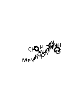 CNCCNCOC(NC(=O)c1cn(-c2nc(NC3CCOCC3)ncc2C)cn1)c1cccc(Cl)c1